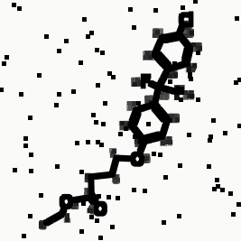 CCOC(=O)CCCOc1ccc(C(F)(F)c2ccc(Cl)cc2)cc1